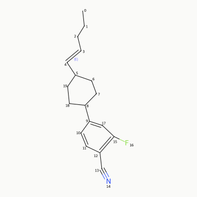 CCC/C=C/C1CCC(c2ccc(C#N)c(F)c2)CC1